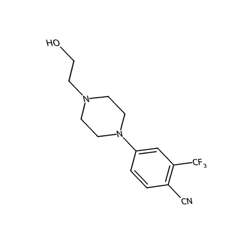 N#Cc1ccc(N2CCN(CCO)CC2)cc1C(F)(F)F